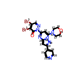 O=c1c(Br)c(Br)cnn1-c1cc(N2CCOCC2)n2nc(-c3ccncc3)cc2n1